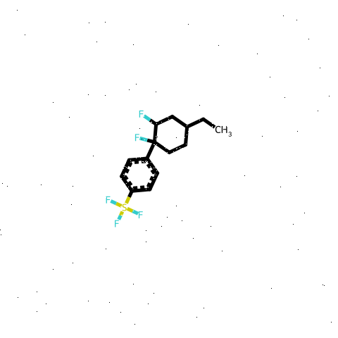 CCC1CCC(F)(c2ccc(S(F)(F)F)cc2)C(F)C1